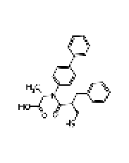 C[C@@H](C(=O)O)N(C(=O)[C@H](CS)Cc1ccccc1)c1ccc(-c2ccccc2)cc1